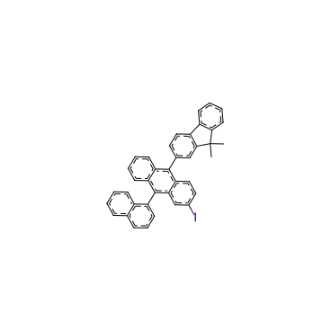 CC1(C)c2ccccc2-c2ccc(-c3c4ccccc4c(-c4cccc5ccccc45)c4cc(I)ccc34)cc21